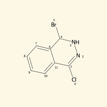 ClC1=NNC(Br)c2ccccc21